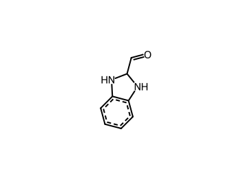 O=CC1Nc2ccccc2N1